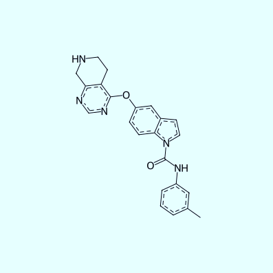 Cc1cccc(NC(=O)n2ccc3cc(Oc4ncnc5c4CCNC5)ccc32)c1